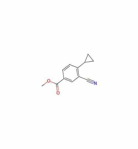 COC(=O)c1ccc(C2CC2)c(C#N)c1